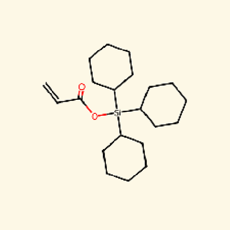 C=CC(=O)O[Si](C1CCCCC1)(C1CCCCC1)C1CCCCC1